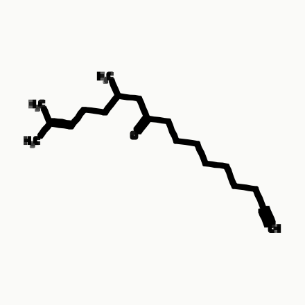 C#CCCCCCCCC(=O)CC(C)CCC=C(C)C